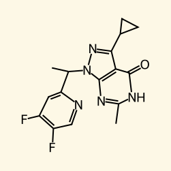 Cc1nc2c(c(C3CC3)nn2C(C)c2cc(F)c(F)cn2)c(=O)[nH]1